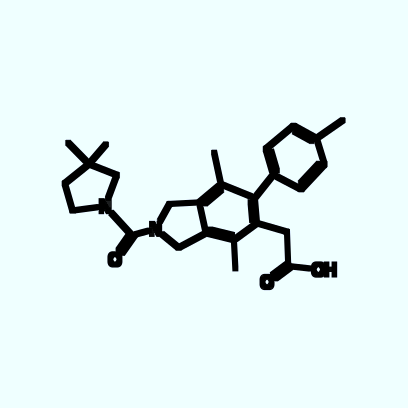 Cc1ccc(-c2c(C)c3c(c(C)c2CC(=O)O)CN(C(=O)N2CCC(C)(C)C2)C3)cc1